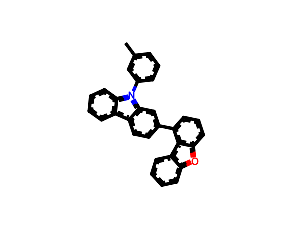 Cc1cccc(-n2c3ccccc3c3ccc(-c4cccc5oc6ccccc6c45)cc32)c1